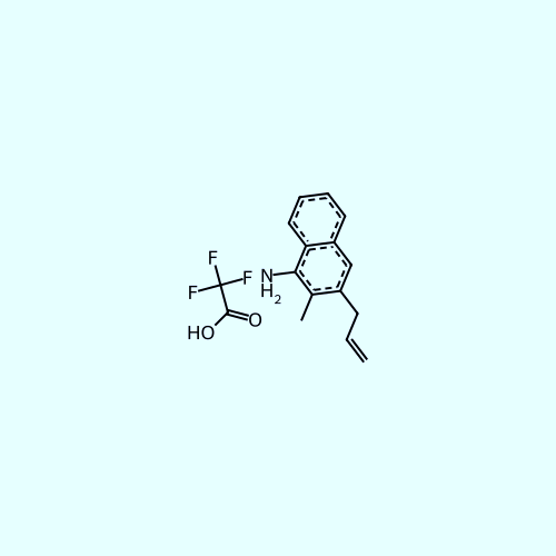 C=CCc1cc2ccccc2c(N)c1C.O=C(O)C(F)(F)F